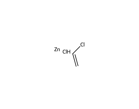 C=CCl.Cl.[Zn]